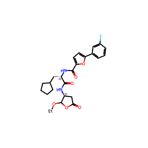 CCOC1OC(=O)C[C@@H]1NC(=O)[C@H](CC1CCCC1)NC(=O)c1ccc(-c2cccc(F)c2)o1